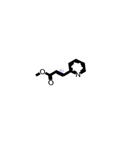 COC(=O)/C=C/c1ccccn1